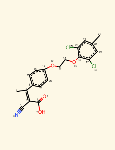 CC(=C(C#N)C(=O)O)c1ccc(OCCOc2c(Cl)cc(C)cc2Cl)cc1